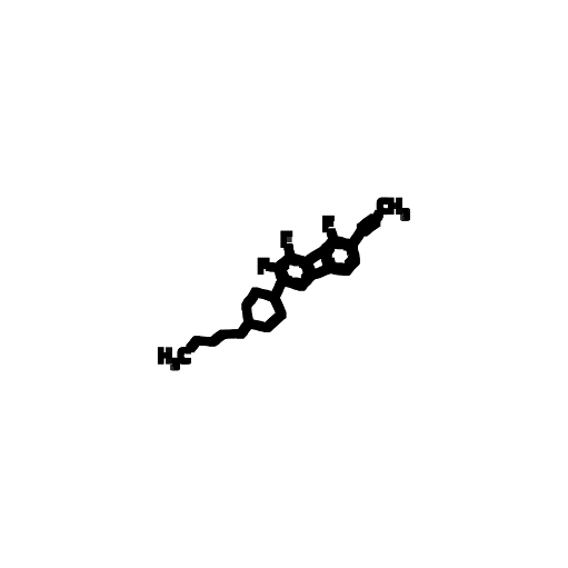 CC#Cc1ccc2c(c1F)-c1c-2cc(C2CCC(CCCCC)CC2)c(F)c1F